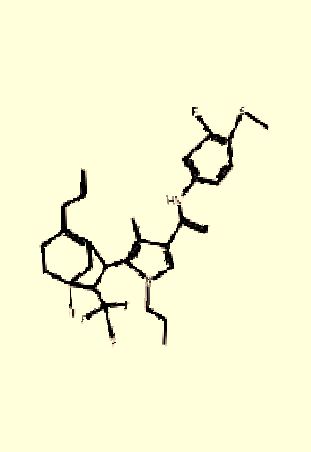 C=C(Nc1ccc(SC)c(F)c1)c1cn(CCC)c(C2C3=C(CCC)CC[C@H](C3)C2C(F)(F)F)c1C